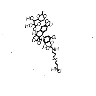 COc1cc([C@@H]2c3cc4c(cc3[C@@H](OC3OC5COC(C)OC5C(O)C3O)[C@H]3COC(=O)[C@H]23)OCO4)cc(OC)c1OC(=O)NCCSSCCNCl